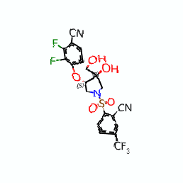 N#Cc1cc(C(F)(F)F)ccc1S(=O)(=O)N1C[C@H](Oc2ccc(C#N)c(F)c2F)[C@](O)(CO)C1